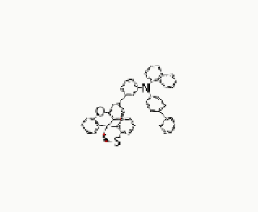 c1ccc(-c2ccc(N(c3cccc(-c4ccc5c(c4)Oc4ccccc4C54c5ccccc5Sc5ccccc54)c3)c3cccc4ccccc34)cc2)cc1